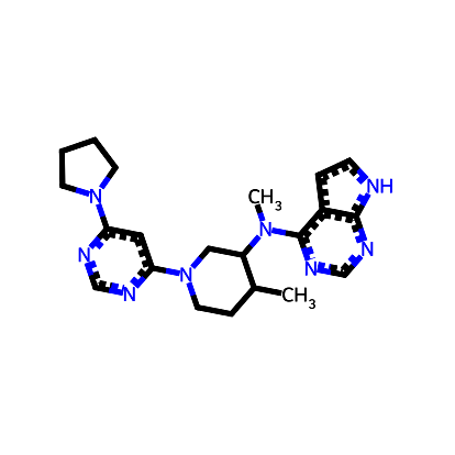 CC1CCN(c2cc(N3CCCC3)ncn2)CC1N(C)c1ncnc2[nH]ccc12